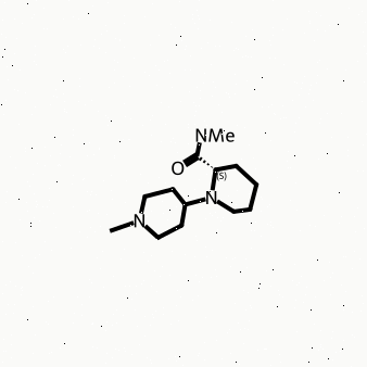 CNC(=O)[C@@H]1CCCCN1C1CCN(C)CC1